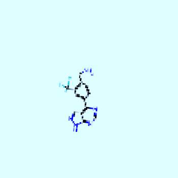 NCc1ccc(-c2ncnc3[nH]ncc23)cc1C(F)(F)F